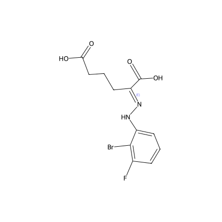 O=C(O)CCC/C(=N\Nc1cccc(F)c1Br)C(=O)O